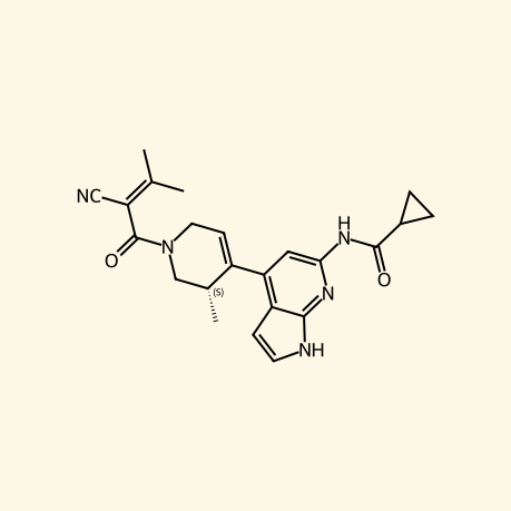 CC(C)=C(C#N)C(=O)N1CC=C(c2cc(NC(=O)C3CC3)nc3[nH]ccc23)[C@H](C)C1